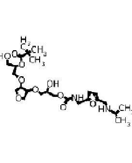 CC(C)NCc1ccc(CNC(=O)OCC(O)COC2COCC2OCC(CO)OC(=O)C(C)(C)C)o1